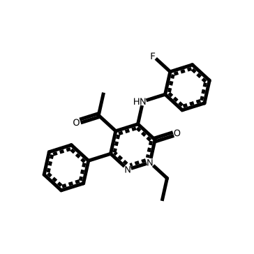 CCn1nc(-c2ccccc2)c(C(C)=O)c(Nc2ccccc2F)c1=O